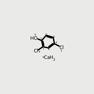 Oc1ccc(Cl)cc1Cl.[CaH2]